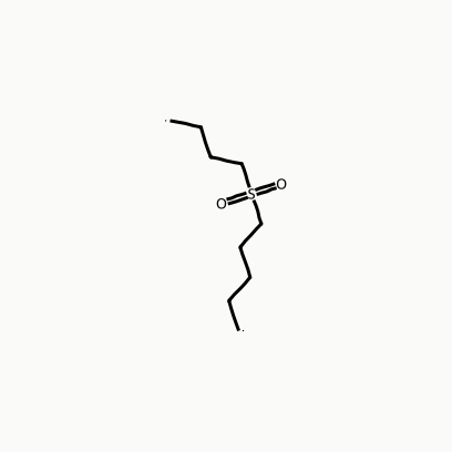 [CH2]CCCCS(=O)(=O)CCC[CH2]